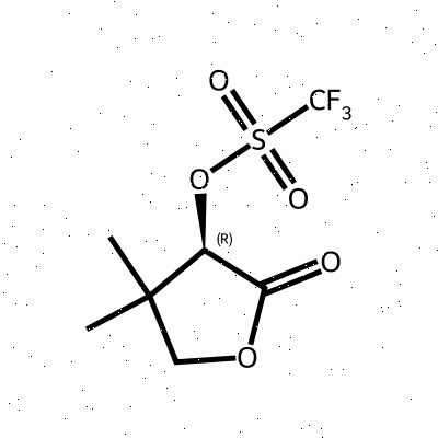 CC1(C)COC(=O)[C@@H]1OS(=O)(=O)C(F)(F)F